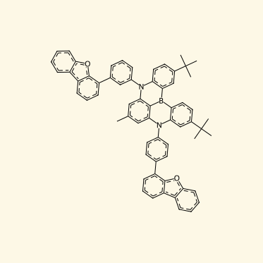 Cc1cc2c3c(c1)N(c1ccc(-c4cccc5c4oc4ccccc45)cc1)c1cc(C(C)(C)C)ccc1B3c1cc(C(C)(C)C)ccc1N2c1cccc(-c2cccc3c2oc2ccccc23)c1